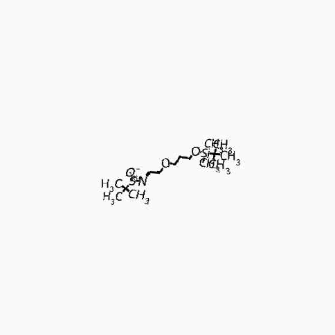 CC(C)(C)[S@+]([O-])N=CCOCCCO[Si](C)(C)C(C)(C)C